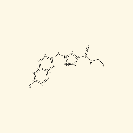 CCOC(=O)c1cn(Cc2ccc3nc(C)ccc3c2)nn1